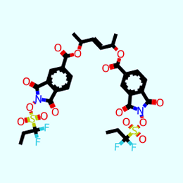 CCC(F)(F)S(=O)(=O)ON1C(=O)c2ccc(C(=O)OC(C)/C=C/C(C)OC(=O)c3ccc4c(c3)C(=O)N(OS(=O)(=O)C(F)(F)CC)C4=O)cc2C1=O